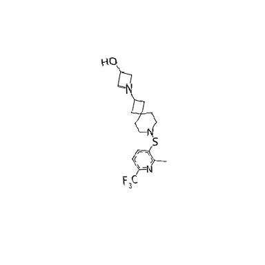 Cc1nc(C(F)(F)F)ccc1SN1CCC2(CC1)CC(N1CC(O)C1)C2